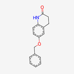 O=C1CCc2cc(OCc3ccccc3)ccc2N1